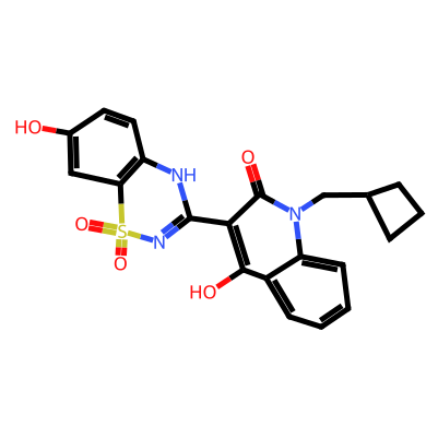 O=c1c(C2=NS(=O)(=O)c3cc(O)ccc3N2)c(O)c2ccccc2n1CC1CCC1